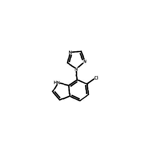 Clc1ccc2cc[nH]c2c1-n1cncn1